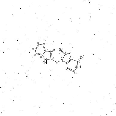 O=c1[nH]ccc2c1CC(=S)N2Cc1nc2ccccc2[nH]1